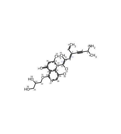 C=C/C(C#CC(C)N)=C\C(C)=C(/Cl)n1c(C)cc(=O)c2c(OCC(O)CO)ncc(Cl)c21